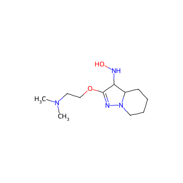 CN(C)CCOC1=NN2CCCCC2C1NO